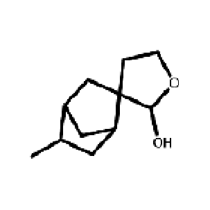 CC1CC2CC1CC21CCOC1O